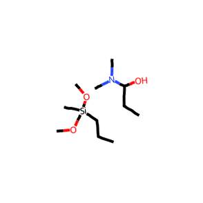 CCC(O)N(C)C.CCC[Si](C)(OC)OC